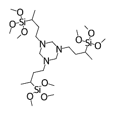 CO[Si](OC)(OC)C(C)CCN1CN(CCC(C)[Si](OC)(OC)OC)CN(CCC(C)[Si](OC)(OC)OC)C1